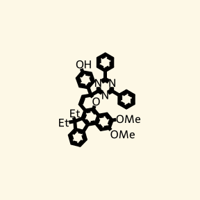 CCC1(CC)c2ccccc2-c2c1c1c(c3cc(OC)c(OC)cc23)OC(c2ccc(O)cc2)(c2nc(-c3ccccc3)nc(-c3ccccc3)n2)C=C1